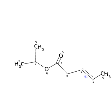 C/C=C/CC(=O)OC(C)C